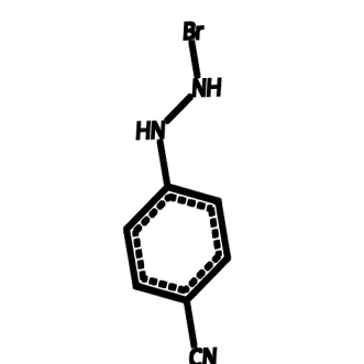 N#Cc1ccc(NNBr)cc1